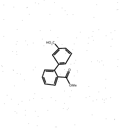 COC(=O)c1ccccc1-c1cccc(C(=O)O)c1